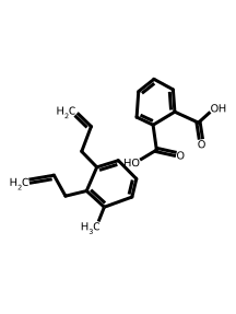 C=CCc1cccc(C)c1CC=C.O=C(O)c1ccccc1C(=O)O